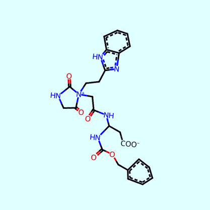 O=C([O-])CC(NC(=O)C[N+]1(CCc2nc3ccccc3[nH]2)C(=O)CNC1=O)NC(=O)OCc1ccccc1